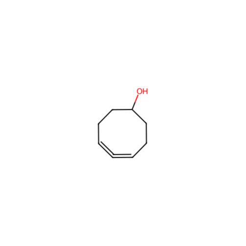 OC1CCC=C=CCC1